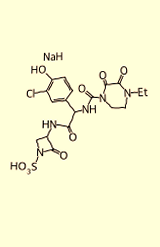 CCN1CCN(C(=O)NC(C(=O)NC2CN(S(=O)(=O)O)C2=O)c2ccc(O)c(Cl)c2)C(=O)C1=O.[NaH]